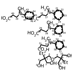 CCC(CO)(CO)COCC(CC)(CO)CO.CN(CCC(=O)O)c1ccccc1.CN(CCC(=O)O)c1ccccc1.CN(CCC(=O)O)c1ccccc1.CN(CCC(=O)O)c1ccccc1